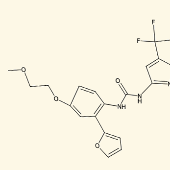 COCCOc1ccc(NC(=O)Nc2cc(C(F)(F)F)on2)c(-c2ccco2)c1